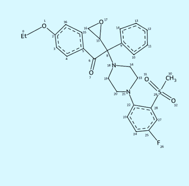 CCOc1ccc(C(=O)C(c2ccccc2)(C2CO2)N2CCN(c3ccc(F)cc3S(C)(=O)=O)CC2)cc1